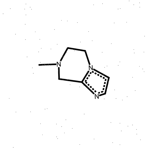 CN1CCn2ccnc2C1